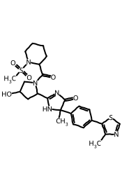 Cc1ncsc1-c1ccc(C2(C)NC(C3CC(O)CN3C(=O)C3CCCCN3S(C)(=O)=O)=NC2=O)cc1